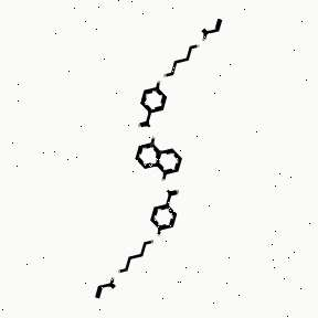 C=CC(=O)OCCCCOc1ccc(C(=O)Oc2cccc3c(OC(=O)c4ccc(OCCCCOC(=O)C=C)cc4)cccc23)cc1